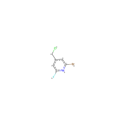 Fc1cc(CCl)cc(Br)n1